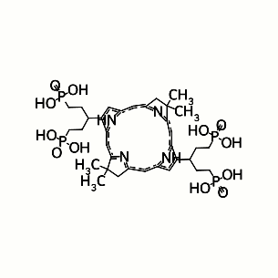 CC1(C)Cc2cc3cc(C(CCP(=O)(O)O)CCP(=O)(O)O)c(cc4nc(cc5cc(C(CCP(=O)(O)O)CCP(=O)(O)O)c(cc1n2)[nH]5)CC4(C)C)[nH]3